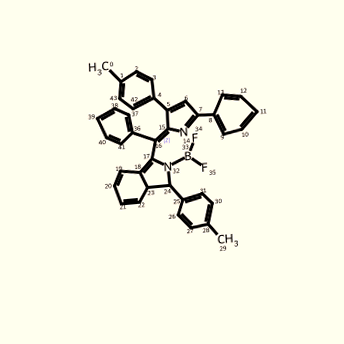 Cc1ccc(C2=CC(c3ccccc3)=N/C2=C(\C2=C3C=CC=CC3C(c3ccc(C)cc3)N2B(F)F)c2ccccc2)cc1